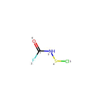 O=C(F)NSCl